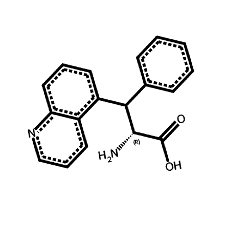 N[C@@H](C(=O)O)C(c1ccccc1)c1cccc2ncccc12